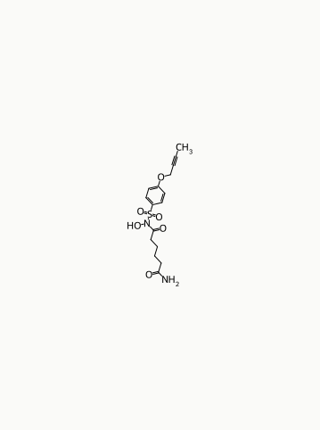 CC#CCOc1ccc(S(=O)(=O)N(O)C(=O)CCCCC(N)=O)cc1